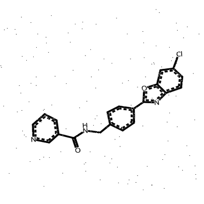 O=C(NCc1ccc(-c2nc3ccc(Cl)cc3o2)cc1)c1cccnc1